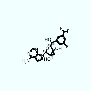 Nc1ncnc2c1ccn2[C@@H]1O[C@H]([C@@H](O)c2cc(F)cc(C(F)F)c2)[C@]2(O)C[C@@]12O